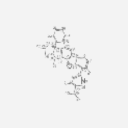 Cc1cc(-c2c(C)ccc3c2oc2cc4c(cc23)-c2ccccc2C4(CC(C)C)CC(C)C)ncc1C(C)C